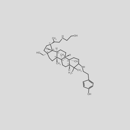 CC(CNCCO)[C@@H]1CC[C@]2(CO)CC[C@]3(C)[C@H](CC[C@@H]4[C@@]5(C)CCC(NCCc6ccc(O)cc6)C(C)(C)[C@@H]5CC[C@]43C)[C@@H]12